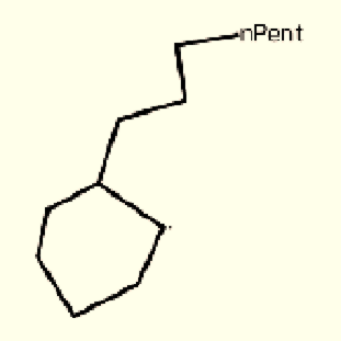 CCCCCCCCC1[CH]CCCC1